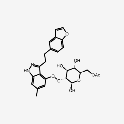 CC(=O)OC[C@H]1O[C@@H](O)[C@H](OOc2cc(C)cc3[nH]nc(CCc4ccc5occc5c4)c23)[C@@H](O)[C@@H]1O